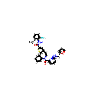 Cc1cccc(F)c1NC(=O)c1cc2c(s1)-c1ccccc1N(C(=O)c1cccc(NC[C@@H]3CCCO3)n1)CC2